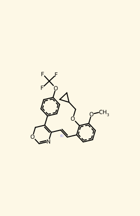 COc1cccc(/C=C/C2=C(c3ccc(OC(F)(F)F)cc3)COC=N2)c1OCC1CC1